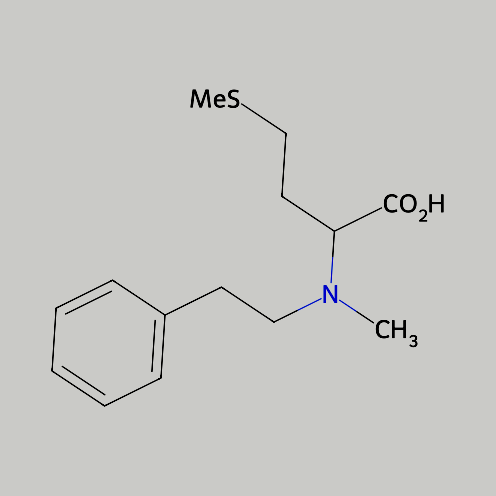 CSCCC(C(=O)O)N(C)CCc1ccccc1